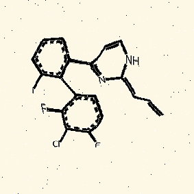 C=C/C=C1/N=C(c2cccc(I)c2-c2ccc(F)c(Cl)c2F)C=CN1